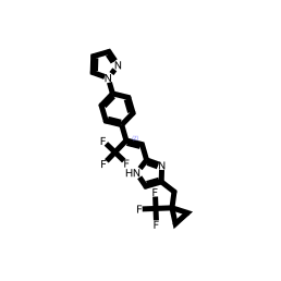 FC(F)(F)/C(=C\c1nc(CC2(C(F)(F)F)CC2)c[nH]1)c1ccc(-n2cccn2)cc1